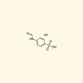 O=CNc1ccc(S(=O)(=O)O)cc1.[KH]